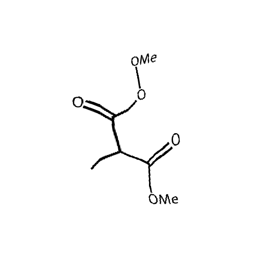 COOC(=O)C(C)C(=O)OC